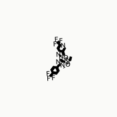 CCS(=O)(=O)c1c(-n2cc3cnc(C(F)(F)F)cc3n2)nc(-c2ccc(C(F)(F)F)cc2)n1C